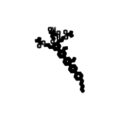 C=C(C)C(=O)OCCCc1cc(-c2ccc(-c3ccc(-c4ccc(C5CCC(CCCCC)CC5)cc4)c(CC)c3)cc2CC)cc(CCCOC(=O)C(=C)C)c1OCCC(C)(CO)CO